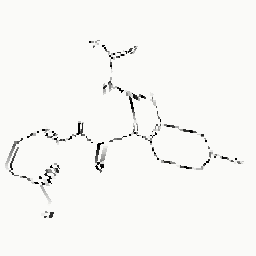 CC(=O)N1CCc2c(sc(NC(=O)C(F)(F)F)c2C(=O)Nc2cccc(Cl)c2)C1